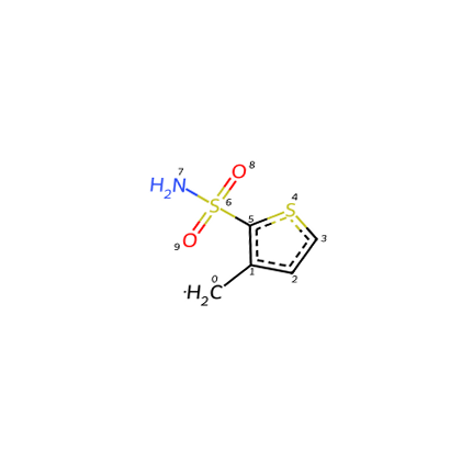 [CH2]c1ccsc1S(N)(=O)=O